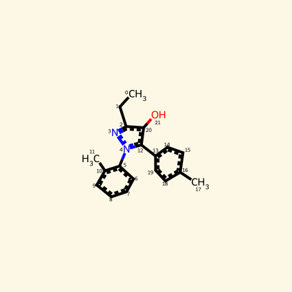 CCc1nn(-c2ccccc2C)c(-c2ccc(C)cc2)c1O